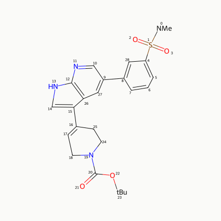 CNS(=O)(=O)c1cccc(-c2cnc3[nH]cc(C4=CCN(C(=O)OC(C)(C)C)CC4)c3c2)c1